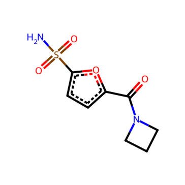 NS(=O)(=O)c1ccc(C(=O)N2CCC2)o1